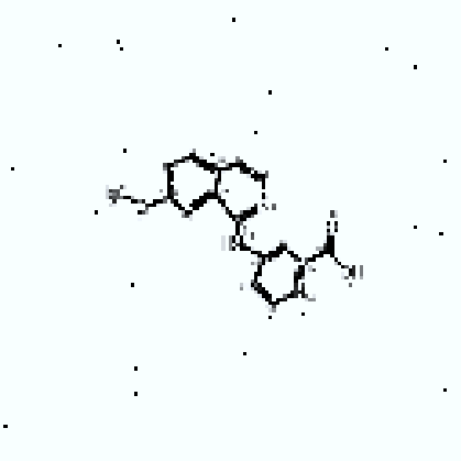 COc1ccc2ccnc(Nc3ccnc(C(=O)O)c3)c2c1